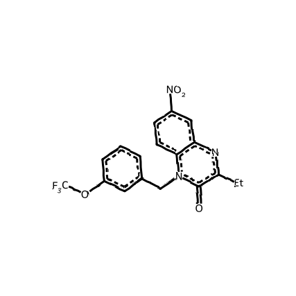 CCc1nc2cc([N+](=O)[O-])ccc2n(Cc2cccc(OC(F)(F)F)c2)c1=O